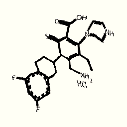 CCC1=C(CN)C(C2CCc3c(F)cc(F)cc3C2)C(=S)C(C(=O)O)=C1N1C=CNC1.Cl